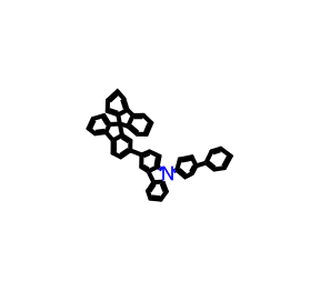 c1ccc(-c2ccc(-n3c4ccccc4c4cc(-c5ccc6c(c5)C5(c7ccccc7-c7ccccc75)c5ccccc5-6)ccc43)cc2)cc1